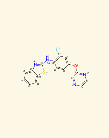 Fc1cc(Oc2cnccn2)ccc1Nc1nc2ccccc2s1